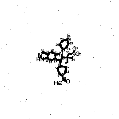 CC1(c2c(-c3ccc(C(=O)O)cc3)c3cc4[nH]ncc4cc3n2-c2ccc(F)cc2)CS(=O)(=O)C1